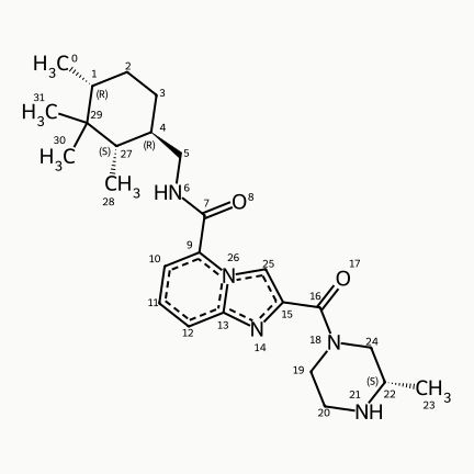 C[C@@H]1CC[C@@H](CNC(=O)c2cccc3nc(C(=O)N4CCN[C@@H](C)C4)cn23)[C@H](C)C1(C)C